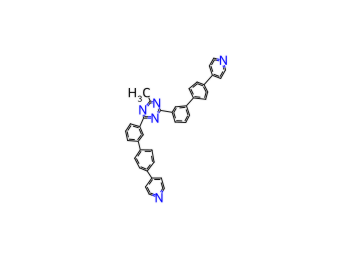 Cc1nc(-c2cccc(-c3ccc(-c4ccncc4)cc3)c2)nc(-c2cccc(-c3ccc(-c4ccncc4)cc3)c2)n1